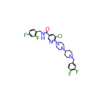 O=C(NCc1ccc(F)cc1F)c1cnc(N2CCN(C3CCN(Cc4ccc(F)c(F)c4)CC3)CC2)c(Cl)c1